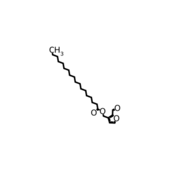 CCCCCCCCCCCCCCCCCC(=O)OCc1ccoc1C=O